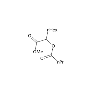 CCCCCCC(OC(=O)CCC)C(=O)OC